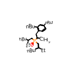 CCCCc1ccc(C[C](C)P(=O)(CC(CC)CCCC)CC(CC)CCCC)c(CCCC)c1